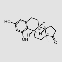 C[C@]12CC[C@@H]3c4c(O)cc(O)cc4CC[C@@H]3[C@@H]1CCC2=O